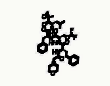 CC(C)C[C@H](NC(=O)[C@H](Cc1ccccc1)NC(=O)[C@H](COC(F)F)NC(=O)[C@H](CCc1ccccc1)NC(=O)CN1CCOCC1)C(=O)[C@@]1(C)CO1